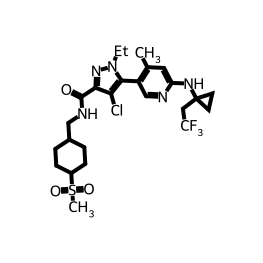 CCn1nc(C(=O)NCC2CCC(S(C)(=O)=O)CC2)c(Cl)c1-c1cnc(NC2(CC(F)(F)F)CC2)cc1C